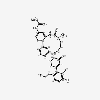 COC(=O)Nc1ccc2c(c1)NC(=O)[C@H](C)CCC[C@H](N1CCC(c3c(OCF)ccc(Cl)c3F)=CC1=O)c1cc-2ccn1